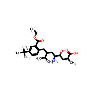 CCOC(=O)c1cc(C(C)(C)C)ccc1CC(CC(N)C(O)CC(C)C(=O)O)C(C)C